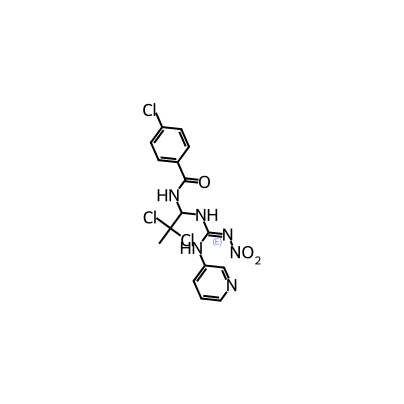 CC(Cl)(Cl)C(NC(=O)c1ccc(Cl)cc1)N/C(=N/[N+](=O)[O-])Nc1cccnc1